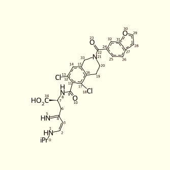 CC(C)N/C=C\C(=N)C[C@H](NC(=O)c1c(Cl)cc2c(c1Cl)CCN(C(=O)c1ccc3ccoc3c1)C2)C(=O)O